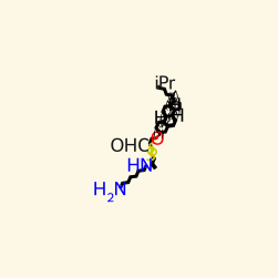 C=C(CSSC(C=O)CO[C@H]1CC[C@@]2(C)C(=CC[C@H]3[C@@H]4CC[C@H]([C@H](C)CCCC(C)C)[C@@]4(C)CC[C@@H]32)C1)NCCCCCCN